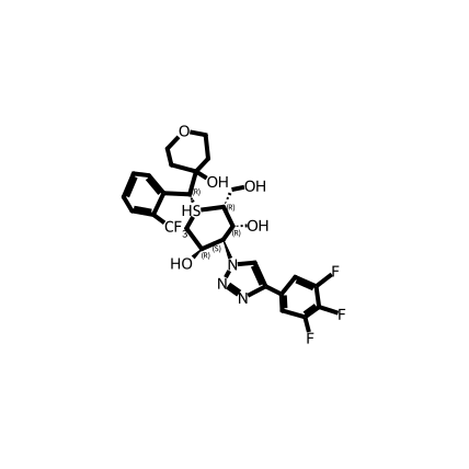 OC[C@@H]1[C@H](O)[C@@H](n2cc(-c3cc(F)c(F)c(F)c3)nn2)[C@@H](O)C[SH]1[C@H](c1ccccc1C(F)(F)F)C1(O)CCOCC1